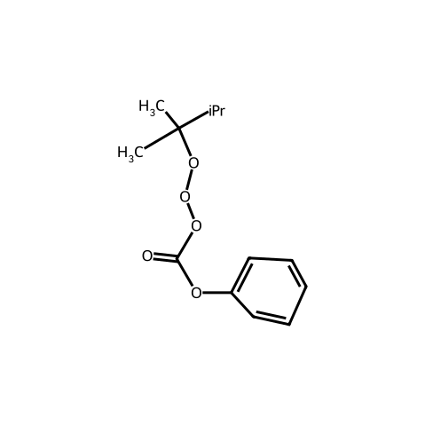 CC(C)C(C)(C)OOOC(=O)Oc1ccccc1